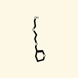 OCCOCCOCC1=COCCC1